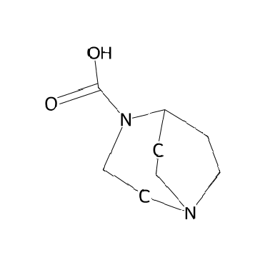 O=C(O)N1CCN2CCC1CC2